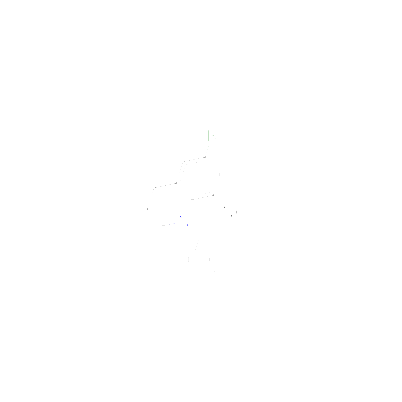 O=C(O)CN1CCCc2cc(Br)cc([N+](=O)[O-])c21